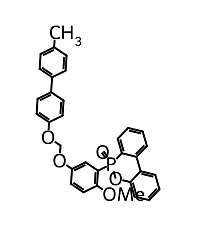 COc1ccc(OCOc2ccc(-c3ccc(C)cc3)cc2)cc1P1(=O)Oc2ccccc2-c2ccccc21